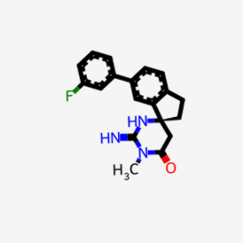 CN1C(=N)N[C@@]2(CCc3ccc(-c4cccc(F)c4)cc32)CC1=O